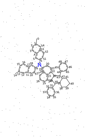 Cc1ccc2cc(N(c3ccc4cc(C)ccc4c3)c3ccc4c5c(cccc35)C3C(c5ccccc5)C5CCCCC5C(c5ccccc5)C43)ccc2c1